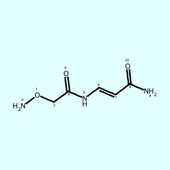 NOCC(=O)NC=CC(N)=O